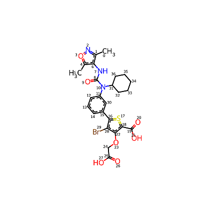 Cc1noc(C)c1NC(=O)N(c1cccc(-c2sc(C(=O)O)c(OCC(=O)O)c2Br)c1)C1CCCCC1